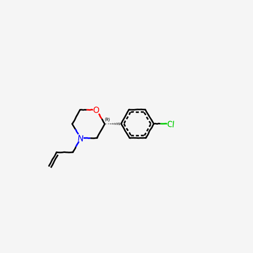 C=CCN1CCO[C@H](c2ccc(Cl)cc2)C1